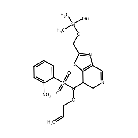 C=CCON(C1CN=Cc2nc(CO[Si](C)(C)C(C)(C)C)sc21)S(=O)(=O)c1ccccc1[N+](=O)[O-]